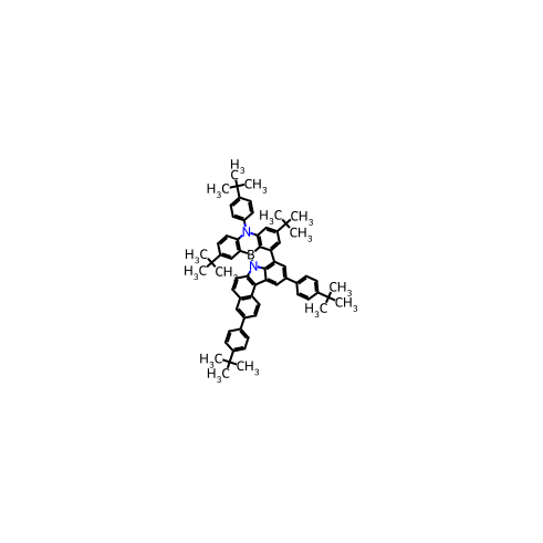 CC(C)(C)c1ccc(-c2ccc3c(ccc4c3c3cc(-c5ccc(C(C)(C)C)cc5)cc5c3n4B3c4cc(C(C)(C)C)ccc4N(c4ccc(C(C)(C)C)cc4)c4cc(C(C)(C)C)cc-5c43)c2)cc1